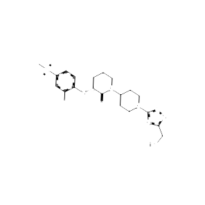 CC(C)Cc1nsc(N2CCC(N3CCC[C@H](Nc4ccc(S(C)(=O)=O)cc4F)C3=O)CC2)n1